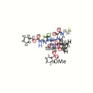 COc1ccccc1C(=O)OC[C@@](NC(=O)C(NC(=O)N1CCN(CCF)C(=O)C1=O)c1nc(NC(=O)OCc2ccccc2)sc1Cl)(B1O[C@@H]2C[C@@H]3C[C@@H](C3(C)C)[C@]2(C)O1)C(C)(C)C